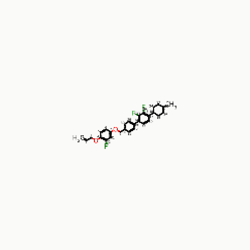 C=CCOc1ccc(OCc2ccc(-c3ccc(C4CCC(C)CC4)c(F)c3F)cc2)cc1F